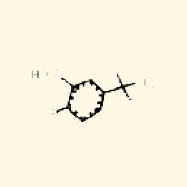 O=C(O)c1cc(C(F)(F)C(F)(F)F)ccc1F